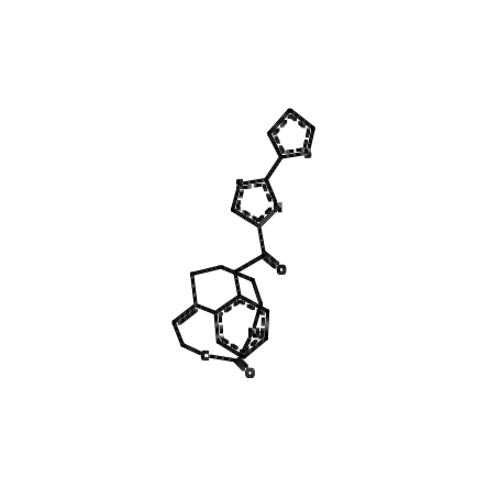 O=C1CC/C=C(\c2ccccc2CC(=O)c2csc(-c3cccs3)n2)CCCCN1